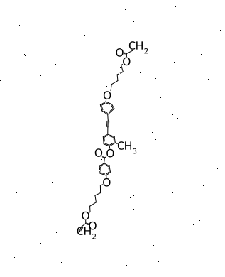 C=CC(=O)OCCCCCCOc1ccc(C#Cc2ccc(OC(=O)c3ccc(OCCCCCCOC(=O)C=C)cc3)c(C)c2)cc1